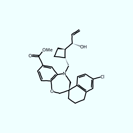 C=C[C@H](O)[C@@H]1CC[C@H]1CN1C[C@@]2(CCCc3cc(Cl)ccc32)COc2ccc(C(=O)OC)cc21